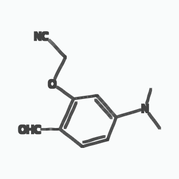 CN(C)c1ccc(C=O)c(OCC#N)c1